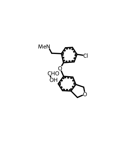 CNCc1ccc(Cl)cc1Oc1ccc2c(c1)COC2.O=CO